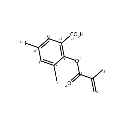 C=C(C)C(=O)Oc1c(I)cc(I)cc1C(=O)O